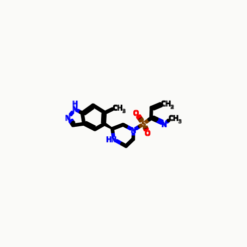 C=C/C(=N\C)S(=O)(=O)N1CCN[C@@H](c2cc3cn[nH]c3cc2C)C1